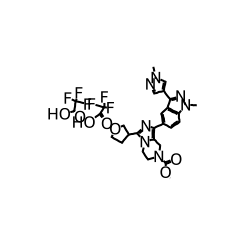 COC(=O)N1CCn2c(C3CCOC3)nc(-c3ccc4c(c3)c(-c3cnn(C)c3)nn4C)c2C1.O=C(O)C(F)(F)F.O=C(O)C(F)(F)F